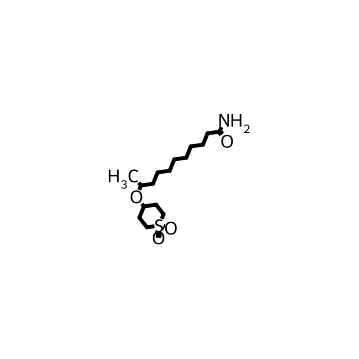 CC(CCCCCCCCC(N)=O)OC1CCS(=O)(=O)CC1